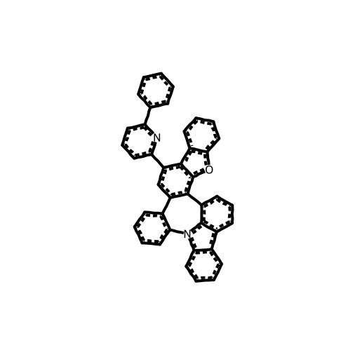 c1ccc(-c2cccc(-c3cc4c(c5oc6ccccc6c35)-c3cccc5c6ccccc6n(c35)-c3ccccc3-4)n2)cc1